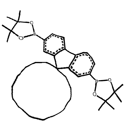 CC1(C)OB(c2ccc3c(c2)C2(CCCCCCCCCCCCCC2)c2cc(B4OC(C)(C)C(C)(C)O4)ccc2-3)OC1(C)C